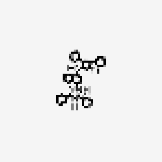 NC(NC(NCc1ccc(NC2=CC3Oc4ccccc4C3C=C2c2ccccc2)c2ccccc12)c1ccccc1)c1ccccc1